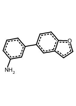 Nc1cccc(-c2ccc3occc3c2)c1